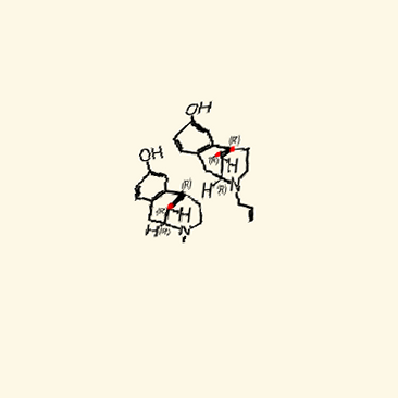 C=CCN1CC[C@]23CCCC[C@H]2[C@H]1Cc1ccc(O)cc13.CN1CC[C@]23CCCC[C@H]2[C@H]1Cc1ccc(O)cc13